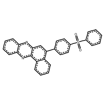 O=S(=O)(c1ccccc1)c1ccc(-c2cc3nc4ccccc4nc3c3ccccc23)cc1